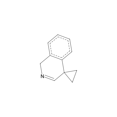 C1=NCc2ccccc2C12CC2